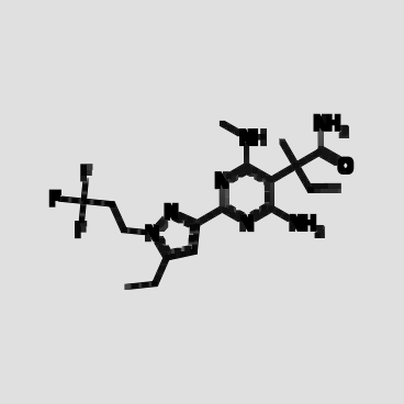 C=CC(C)(C(N)=O)c1c(N)nc(-c2cc(CC)n(CCC(F)(F)F)n2)nc1NC